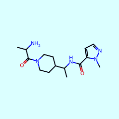 CC(N)C(=O)N1CCC(C(C)NC(=O)c2ccnn2C)CC1